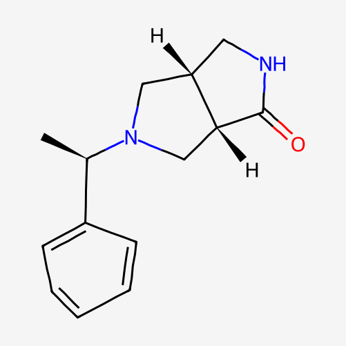 C[C@H](c1ccccc1)N1C[C@@H]2CNC(=O)[C@@H]2C1